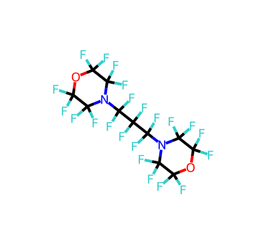 FC1(F)OC(F)(F)C(F)(F)N(C(F)(F)C(F)(F)C(F)(F)N2C(F)(F)C(F)(F)OC(F)(F)C2(F)F)C1(F)F